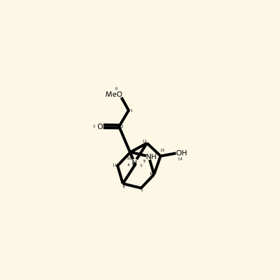 COCC(=O)N1CC2CC3NC(C2)C1C3O